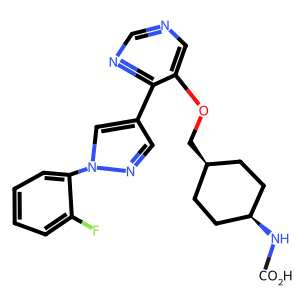 O=C(O)N[C@H]1CC[C@@H](COc2cncnc2-c2cnn(-c3ccccc3F)c2)CC1